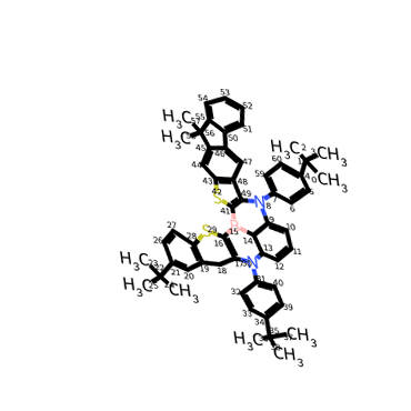 CC(C)(C)c1ccc(N2C3=CC=CC4C3B(C3=C(Cc5cc(C(C)(C)C)ccc5S3)N4c3ccc(C(C)(C)C)cc3)c3sc4cc5c(cc4c32)-c2ccccc2C5(C)C)cc1